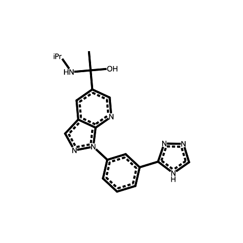 CC(C)NC(C)(O)c1cnc2c(cnn2-c2cccc(-c3nnc[nH]3)c2)c1